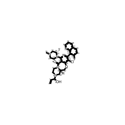 C=CC(O)N1CCN2C(=O)c3c(N4CCN(C)C[C@@H]4C)nc(-c4c(F)ccc5cccnc45)c(Cl)c3OC[C@H]2C1